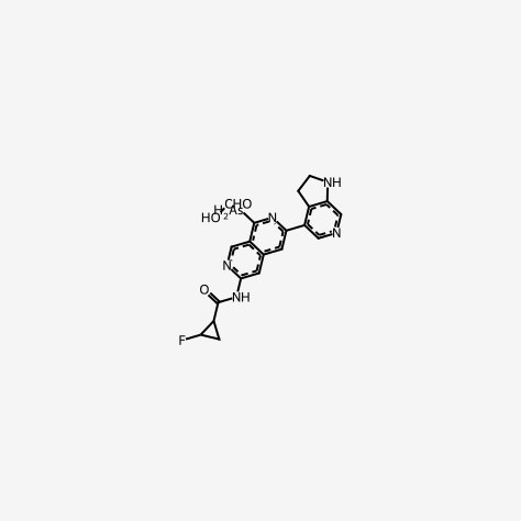 O=C(Nc1cc2cc(-c3cncc4c3CCN4)nc([AsH2])c2cn1)C1CC1F.O=CO